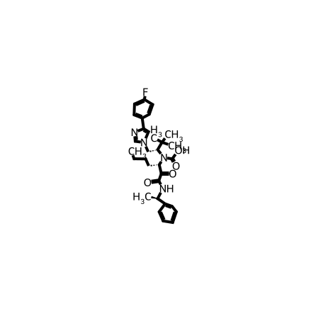 CCCC[C@@H](C(=O)C(=O)N[C@H](C)c1ccccc1)N(C(=O)O)[C@H](Cn1cnc(-c2ccc(F)cc2)c1)C(C)(C)C